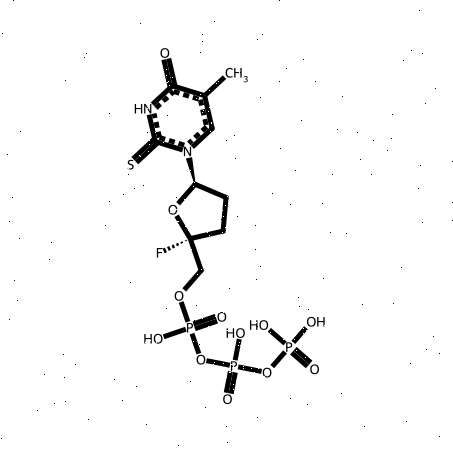 Cc1cn([C@H]2CC[C@@](F)(COP(=O)(O)OP(=O)(O)OP(=O)(O)O)O2)c(=S)[nH]c1=O